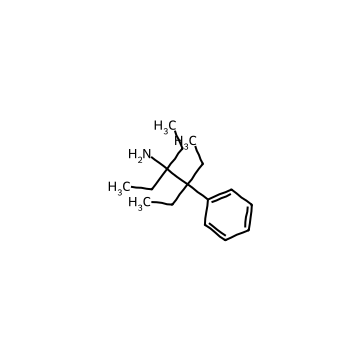 CCC(N)(CC)C(CC)(CC)c1ccccc1